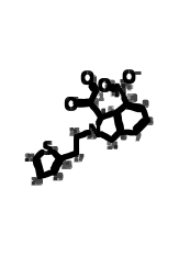 O=CC(=O)C1c2c(cccc2[N+](=O)[O-])CN1CCc1cccs1